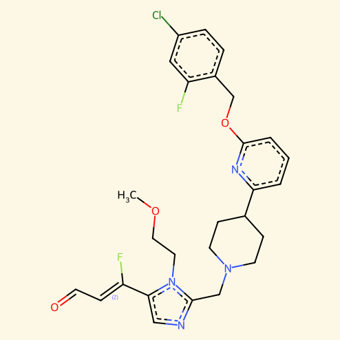 COCCn1c(/C(F)=C/C=O)cnc1CN1CCC(c2cccc(OCc3ccc(Cl)cc3F)n2)CC1